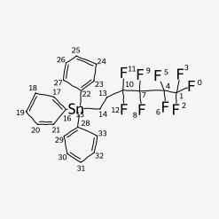 FC(F)(F)C(F)(F)C(F)(F)C(F)(F)C[CH2][Sn]([c]1ccccc1)([c]1ccccc1)[c]1ccccc1